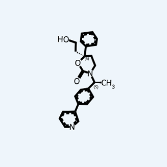 C[C@@H](c1ccc(-c2cccnc2)cc1)N1CC[C@](CCO)(c2ccccc2)OC1=O